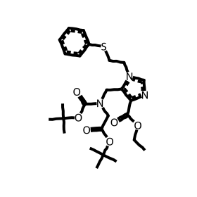 CCOC(=O)c1ncn(CCSc2ccccc2)c1CN(CC(=O)OC(C)(C)C)C(=O)OC(C)(C)C